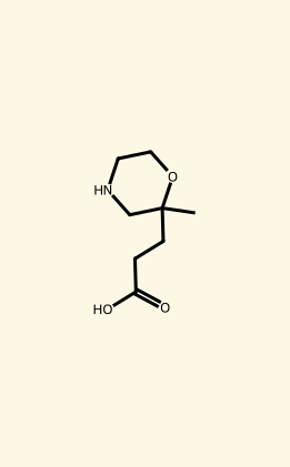 CC1(CCC(=O)O)CNCCO1